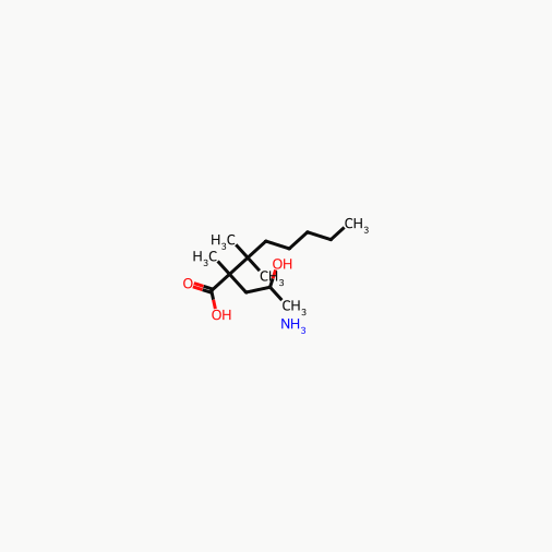 CCCCCC(C)(C)C(C)(CC(C)O)C(=O)O.N